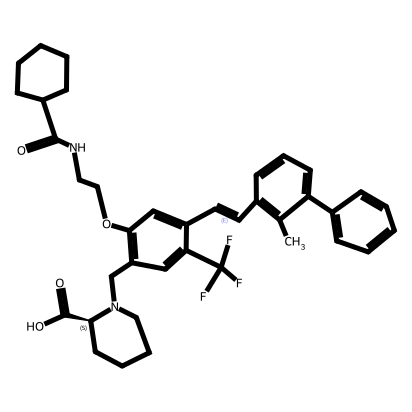 Cc1c(/C=C/c2cc(OCCNC(=O)C3CCCCC3)c(CN3CCCC[C@H]3C(=O)O)cc2C(F)(F)F)cccc1-c1ccccc1